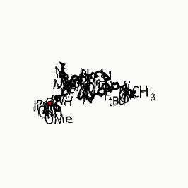 COC(=O)N[C@H](C(=O)N1CCCC1c1ncc(-c2cc(F)c3c(c2)OC(c2cnc(C4CC4)s2)n2c-3cc3cc(-c4cnc(C5CC6(CC7CC7c7ncc(C8Oc9cc(-c%10cnc(C%11CCCN%11C(=O)[C@@H](NC(=O)OC)C(C)C)[nH]%10)cc(F)c9-c9cc%10cc(-c%11cnc(C%12CC%13(C)CC%13N%12C(=O)OC(C)(C)C)[nH]%11)ccc%10n98)s7)CC6N5)[nH]4)ccc32)[nH]1)C(C)C